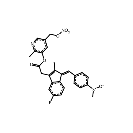 CC1=C(CC(=O)Oc2cc(CO[N+](=O)[O-])cnc2C)c2cc(F)ccc2C1=Cc1ccc([S+](C)[O-])cc1